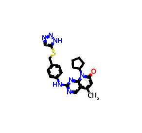 Cc1cc(=O)n(C2CCCC2)c2nc(Nc3ccc(CSc4cnn[nH]4)cc3)ncc12